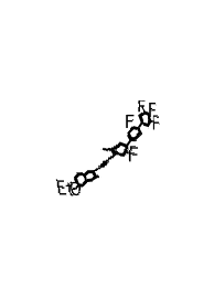 CCOc1ccc2cc(C#Cc3cc(F)c(-c4ccc(-c5cc(F)c(F)c(F)c5)c(F)c4)cc3C)ccc2c1